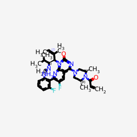 C=CC(=O)N1[C@H](C)CN(c2nc(=O)n(C(/C(C)=C\C)[C@@H](N=C)C(C)C)c3nc(-c4c(N)cccc4F)c(F)cc23)C[C@@H]1C